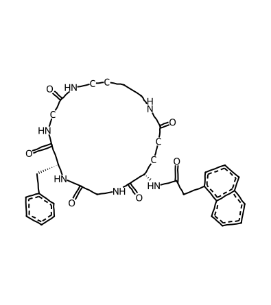 O=C1CC[C@H](NC(=O)Cc2cccc3ccccc23)C(=O)NCC(=O)N[C@H](Cc2ccccc2)C(=O)NCC(=O)NCCCCN1